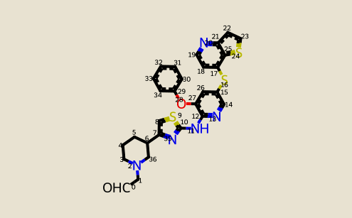 O=CCN1CCCC(c2csc(Nc3ncc(Sc4ccnc5ccsc45)cc3Oc3ccccc3)n2)C1